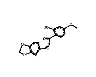 COc1ccc(C(=O)/C=C\c2ccc3c(c2)OCO3)c(O)c1